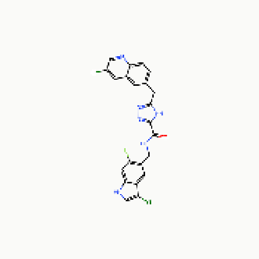 O=C(NCc1cc2c(Cl)c[nH]c2cc1F)c1nnc(Cc2ccc3ncc(Cl)cc3c2)[nH]1